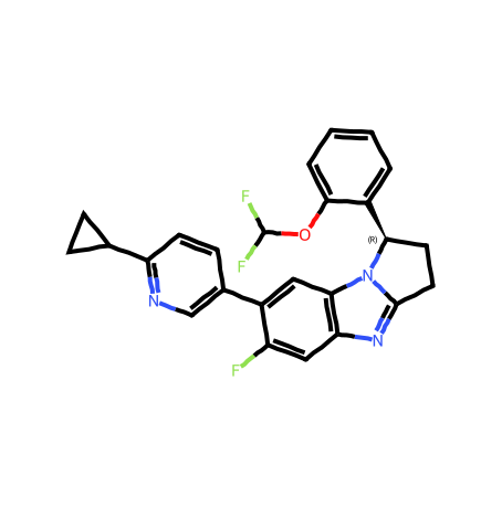 Fc1cc2nc3n(c2cc1-c1ccc(C2CC2)nc1)[C@@H](c1ccccc1OC(F)F)CC3